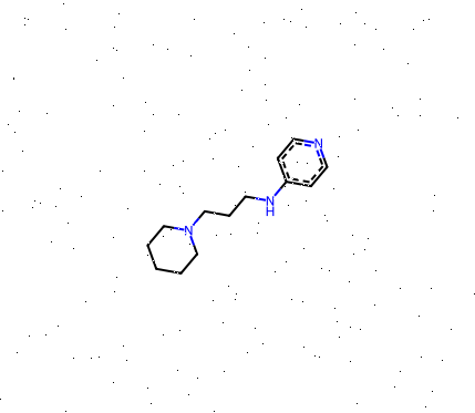 c1cc(NCCCN2CCCCC2)ccn1